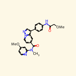 COCC(=O)Nc1ccc(-c2cnn3ccc(C(=O)N(C)c4cc(OC)ccn4)cc23)cc1